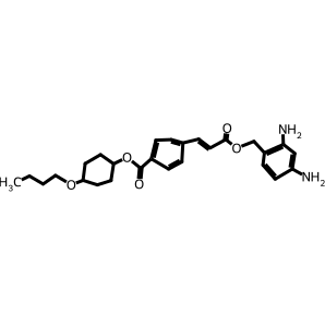 CCCCOC1CCC(OC(=O)c2ccc(/C=C/C(=O)OCc3ccc(N)cc3N)cc2)CC1